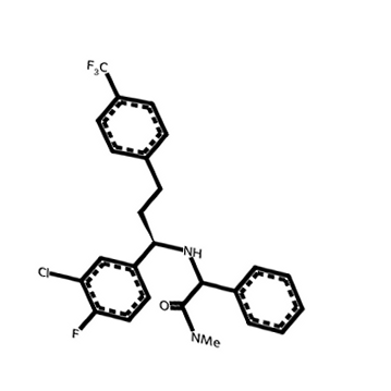 CNC(=O)C(N[C@H](CCc1ccc(C(F)(F)F)cc1)c1ccc(F)c(Cl)c1)c1ccccc1